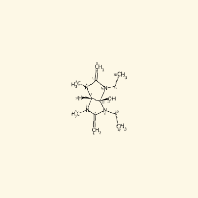 C=C1N(C)[C@H]2N(C)C(=C)N(CC)[C@@]2(O)N1CC